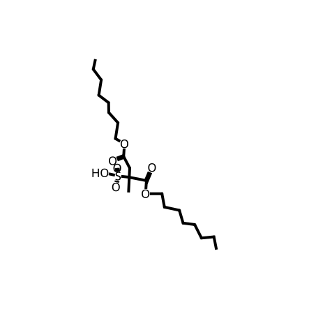 CCCCCCCCOC(=O)CC(C)(C(=O)OCCCCCCCC)S(=O)(=O)O